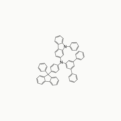 c1ccc(-c2cc(-c3ccccc3)cc(N(c3ccc(C4(c5ccccc5)c5ccccc5-c5ccccc54)cc3)c3ccc4c5ccccc5n(-c5ccccc5)c4c3)c2)cc1